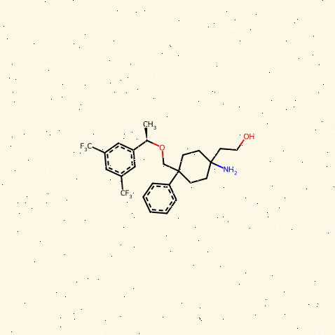 C[C@@H](OCC1(c2ccccc2)CCC(N)(CCO)CC1)c1cc(C(F)(F)F)cc(C(F)(F)F)c1